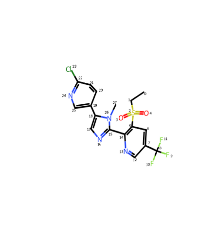 CCS(=O)(=O)c1cc(C(F)(F)F)cnc1-c1ncc(-c2ccc(Cl)nc2)n1C